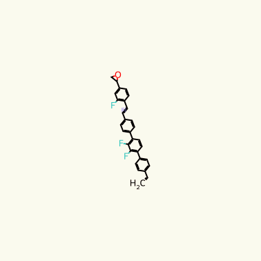 C=Cc1ccc(-c2ccc(-c3ccc(/C=C/c4ccc(C5CO5)cc4F)cc3)c(F)c2F)cc1